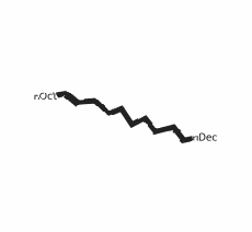 [CH2]CCCCCCC/C=C/CCCCCCCCCCCCCCCCC[CH2]